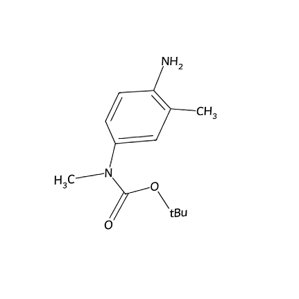 Cc1cc(N(C)C(=O)OC(C)(C)C)ccc1N